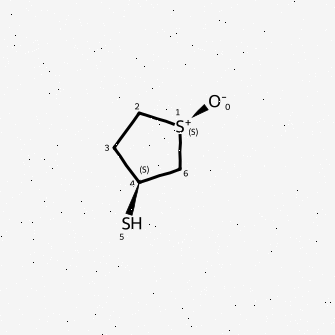 [O-][S@+]1CC[C@H](S)C1